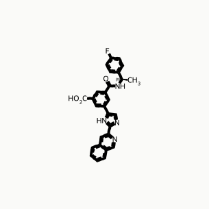 C[C@@H](NC(=O)c1cc(C(=O)O)cc(-c2cnc(-c3cc4ccccc4cn3)[nH]2)c1)c1ccc(F)cc1